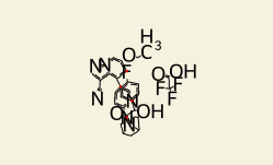 CCOc1cc(-c2ccc(N3CC4CC(C3)N4C(=O)[C@H](O)c3ccc(F)cc3)nc2)c2c(C#N)cnn2c1.O=C(O)C(F)(F)F